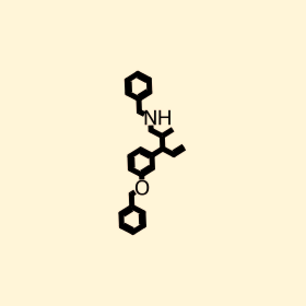 C=CC(c1cccc(OCc2ccccc2)c1)C(C)CNCc1ccccc1